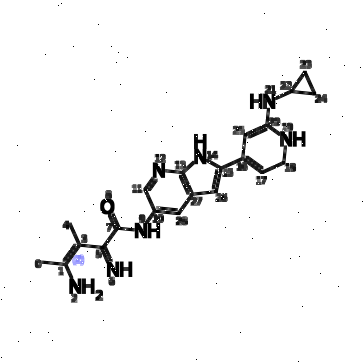 C/C(N)=C(\C)C(=N)C(=O)Nc1cnc2[nH]c(C3=CCNC(NC4CC4)=C3)cc2c1